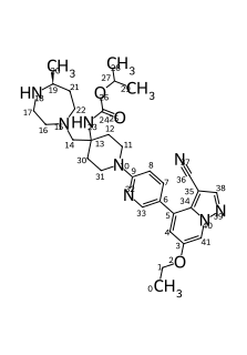 CCOc1cc(-c2ccc(N3CCC(CN4CCN[C@@H](C)CC4)(NC(=O)OC(C)C)CC3)nc2)c2c(C#N)cnn2c1